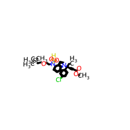 CCC(C#CC(=O)OC)(c1ccc(Cl)cc1)n1ccc2c(N(CCOCC[Si](C)(C)C)[SH](=O)=O)cccc21